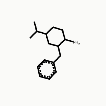 CC(C)C1CCC(N)C(Cc2ccccc2)C1